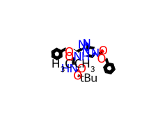 CC(C)(C)OC(=O)NC(C)(C)C(=O)N[C@H](COCc1ccccc1)c1nnc2n1CCN(C(=O)OCc1ccccc1)C2